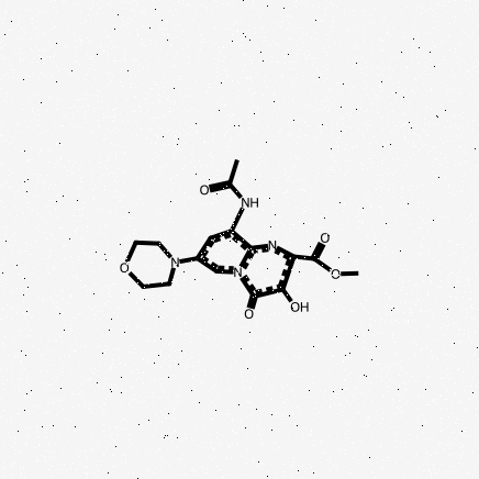 COC(=O)c1nc2c(NC(C)=O)cc(N3CCOCC3)cn2c(=O)c1O